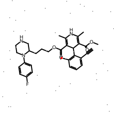 C#Cc1cccc(F)c1C1C(C(=O)OC)=C(C)NC(C)=C1C(=O)OCCCC1CNCCN1c1ccc(F)cc1